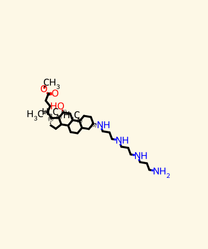 COC(=O)CC[C@@H](C)[C@H]1CCC2C3CCC4C[C@@H](NCCCNCCCNCCCN)CC[C@]4(C)C3C[C@H](O)[C@@]21C